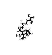 [O-][S+](CCC(F)=C(F)F)c1ncc(C2(c3cccs3)N=CON2)s1